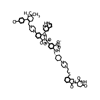 CC1(C)CCC(CN2CCN(c3ccc(C(=O)NS(=O)(=O)c4ccc(NC[C@H]5CC[C@@H](N6CCN(CCSc7cccc8c7CN(C7CCC(=O)NC7=O)C8=O)CC6)CC5)c([N+](=O)[O-])c4)c(Oc4cnc5[nH]ccc5c4)c3)CC2)=C(c2ccc(Cl)cc2)C1